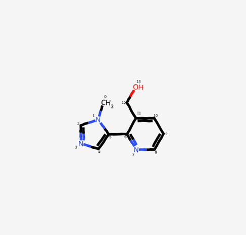 Cn1cncc1-c1ncccc1CO